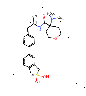 CC(C)(C)N(C(=O)O)C1(C(=O)N[C@H](C#N)Cc2ccc(-c3ccc4c(c3)CS(O)(O)C4)cc2)CCOCC1